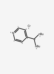 CCCCC(CCCC)c1ccncc1.[Cr]